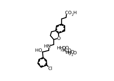 O.O.O.O.O.O=C(O)CCc1ccc2c(c1)CCC(CNC[C@@H](O)c1cccc(Cl)c1)O2